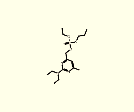 CCCS[P@@](=S)(OCC)OCc1cc(C)nc(N(CC)CC)n1